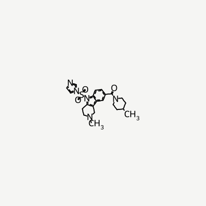 CC1CCN(C(=O)c2ccc3c(c2)c2c(n3S(=O)(=O)n3ccnc3)CCN(C)C2)CC1